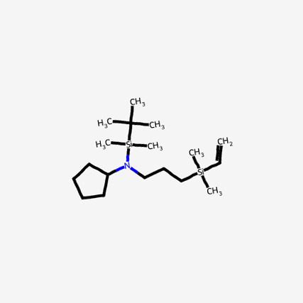 C=C[Si](C)(C)CCCN(C1CCCC1)[Si](C)(C)C(C)(C)C